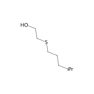 CC(C)CCCSCCO